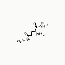 NNC(=O)CC[C@H](N)C(=O)NN